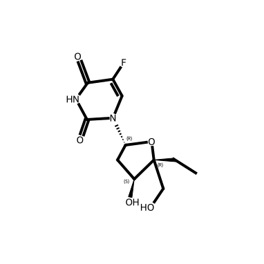 CC[C@]1(CO)O[C@@H](n2cc(F)c(=O)[nH]c2=O)C[C@@H]1O